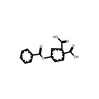 O=C(Oc1ccc(C(=O)O)c(C(=O)O)c1)c1ccccc1